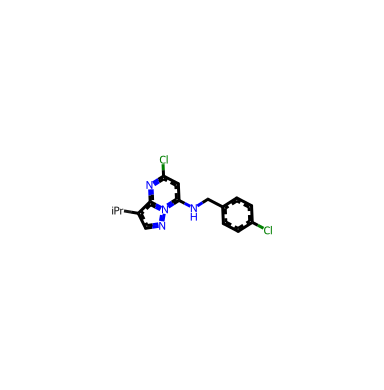 CC(C)c1cnn2c(NCc3ccc(Cl)cc3)cc(Cl)nc12